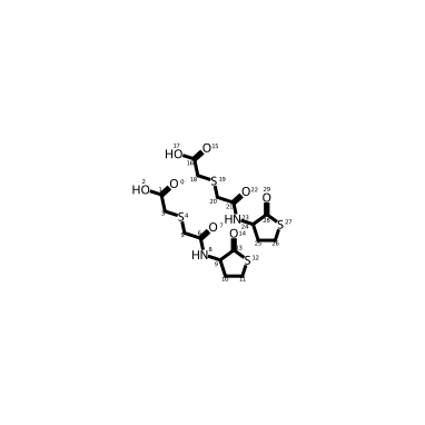 O=C(O)CSCC(=O)NC1CCSC1=O.O=C(O)CSCC(=O)NC1CCSC1=O